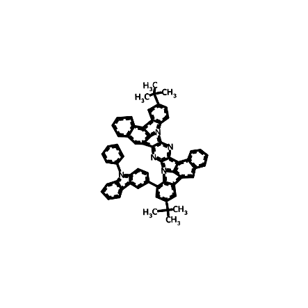 CC(C)(C)c1ccc2c(c1)c1c3ccccc3cc3c4nc5c(nc4n2c31)c1c2ccccc2cc2c3cc(C(C)(C)C)cc(-c4ccc6c(c4)c4ccccc4n6-c4ccccc4)c3n5c21